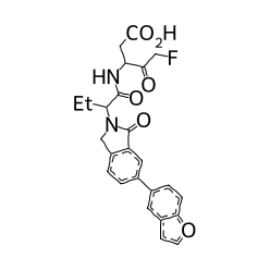 CCC(C(=O)NC(CC(=O)O)C(=O)CF)N1Cc2ccc(-c3ccc4occc4c3)cc2C1=O